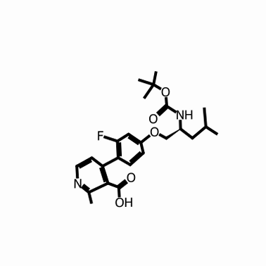 Cc1nccc(-c2ccc(OC[C@H](CC(C)C)NC(=O)OC(C)(C)C)cc2F)c1C(=O)O